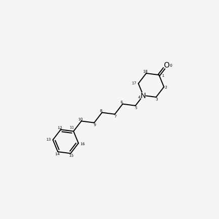 O=C1CCN(CCCCCCc2ccccc2)CC1